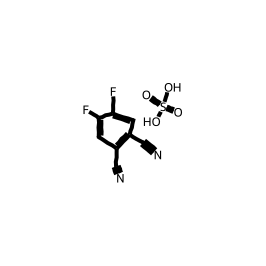 N#Cc1cc(F)c(F)cc1C#N.O=S(=O)(O)O